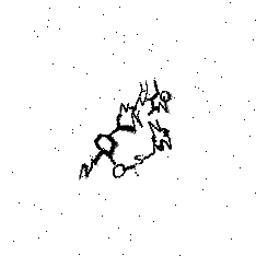 Cc1noc(C)c1Nc1ncc(-c2ccc(C#N)c(O[C@@H](C)SCn3cncn3)c2)cn1